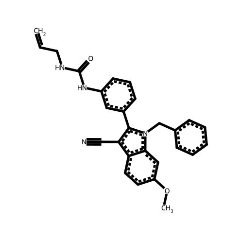 C=CCNC(=O)Nc1cccc(-c2c(C#N)c3ccc(OC)cc3n2Cc2ccccc2)c1